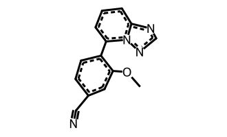 COc1cc(C#N)ccc1-c1cccc2ncnn12